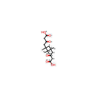 CC1(CC(=O)CC(=O)O)CC(C)(CC(=O)CC(=O)O)C1(C)C